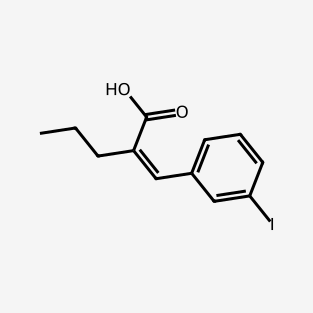 CCCC(=Cc1cccc(I)c1)C(=O)O